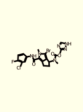 CN(C(=O)Oc1nc[nH]n1)C1CCc2c1c(Br)n(C)c2C(=O)Nc1ccc(F)c(Cl)c1